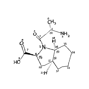 C[C@H](N)C(=O)N1[C@H](C(=O)O)C[C@@H]2CCCC[C@@H]21